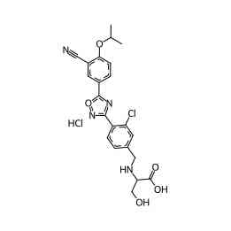 CC(C)Oc1ccc(-c2nc(-c3ccc(CNC(CO)C(=O)O)cc3Cl)no2)cc1C#N.Cl